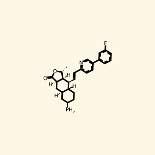 C[C@H]1OC(=O)[C@@H]2C[C@@H]3C[C@H](P)CC[C@H]3[C@H](/C=C/c3ccc(-c4cccc(F)c4)cn3)[C@H]12